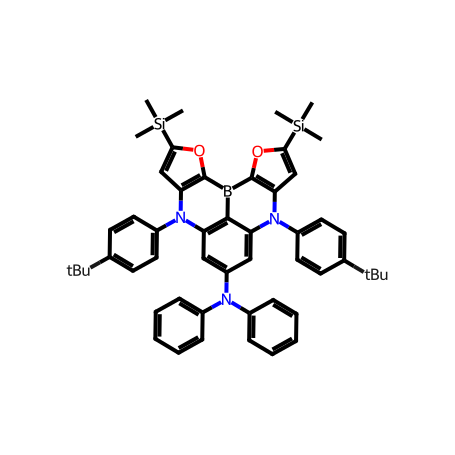 CC(C)(C)c1ccc(N2c3cc([Si](C)(C)C)oc3B3c4oc([Si](C)(C)C)cc4N(c4ccc(C(C)(C)C)cc4)c4cc(N(c5ccccc5)c5ccccc5)cc2c43)cc1